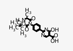 C[C@H](N)C(=O)N(C(=O)OC(C)(C)C)c1ccc(-c2ncc(C(=O)O)c(O)n2)cc1